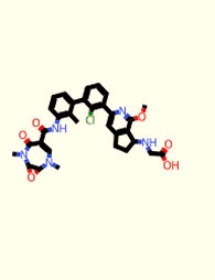 COc1nc(-c2cccc(-c3cccc(NC(=O)C4=CN(C)C5OC5N(C)C4=O)c3C)c2Cl)cc2c1C(NCC(=O)O)CC2